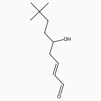 CC(C)(C)CCC(O)CC=CC=O